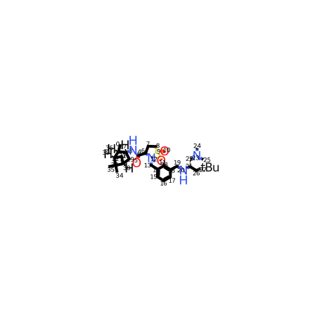 C[C@@H]1[C@@H](NC(=O)C2CCS(=O)(=O)N2Cc2cccc(CN[C@H](CN(C)C)CC(C)(C)C)c2)C[C@H]2C[C@@H]1C2(C)C